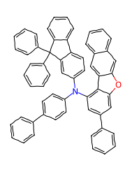 c1ccc(-c2ccc(N(c3ccc4c(c3)C(c3ccccc3)(c3ccccc3)c3ccccc3-4)c3cc(-c4ccccc4)cc4oc5cc6ccccc6cc5c34)cc2)cc1